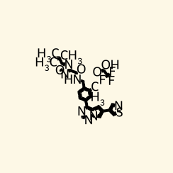 Cc1cc(-c2ncnn3cc(-c4cnsc4)cc23)ccc1CNC(=O)c1noc(C(C)(C)C)n1.O=C(O)C(F)(F)F